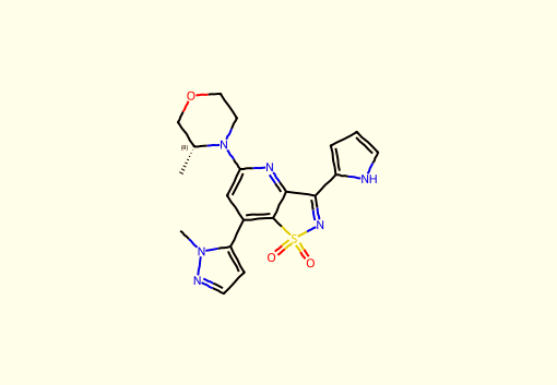 C[C@@H]1COCCN1c1cc(-c2ccnn2C)c2c(n1)C(c1ccc[nH]1)=NS2(=O)=O